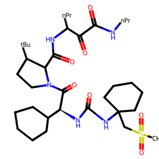 CCCNC(=O)C(=O)C(CCC)NC(=O)C1C(C(C)(C)C)CCN1C(=O)[C@@H](NC(=O)NC1(CS(C)(=O)=O)CCCCC1)C1CCCCC1